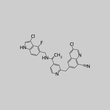 C=C(NCc1ccc2[nH]cc(Cl)c2c1F)c1ccnc(Cc2cc(C#N)c3ncc(Cl)cc3c2)c1